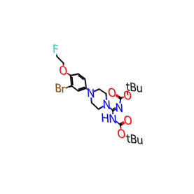 CC(C)(C)OC(=O)/N=C(/NC(=O)OC(C)(C)C)N1CCN(c2ccc(OCCF)c(Br)c2)CC1